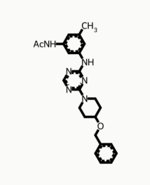 CC(=O)Nc1cc(C)cc(Nc2ncnc(N3CCC(OCc4ccccc4)CC3)n2)c1